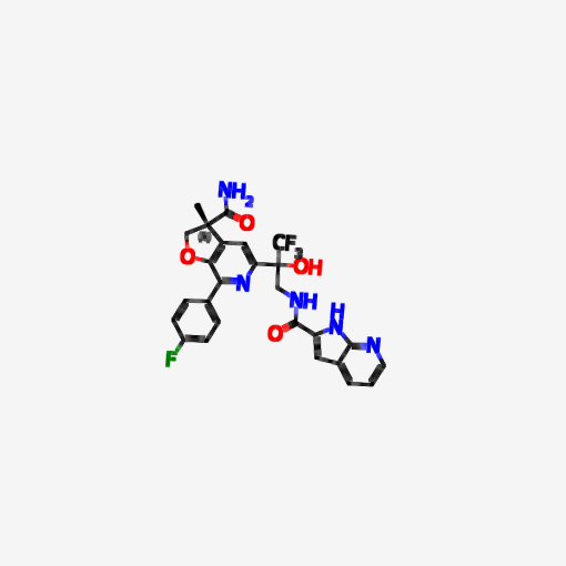 C[C@]1(C(N)=O)COc2c1cc(C(O)(CNC(=O)c1cc3cccnc3[nH]1)C(F)(F)F)nc2-c1ccc(F)cc1